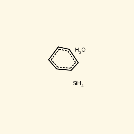 O.[SiH4].c1ccccc1